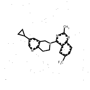 Cc1nc(N2CCc3ncc(C4CC4)cc3C2)c2cc(C(F)(F)F)ccc2n1